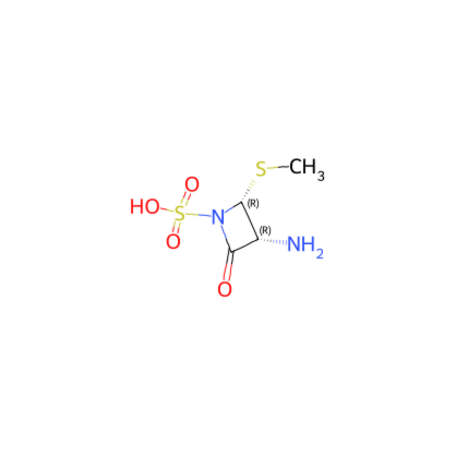 CS[C@@H]1[C@H](N)C(=O)N1S(=O)(=O)O